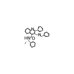 CC[C@H](NC(=O)c1c(CN(C)Cc2ccccc2)c(-c2ccccc2)nc2ccccc12)c1ccccc1